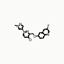 Cn1cc(-n2ccc(=O)c(COc3ccc4ncc(F)cc4c3)n2)cn1